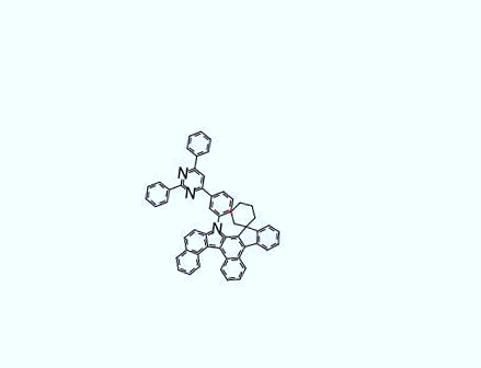 c1ccc(-c2cc(-c3cccc(-n4c5ccc6ccccc6c5c5c6ccccc6c6c(c54)C4(CCCCC4)c4ccccc4-6)c3)nc(-c3ccccc3)n2)cc1